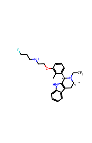 Cc1c(OCCNCCCF)cccc1[C@@H]1c2[nH]c3ccccc3c2C[C@@H](C)N1CC(F)(F)F